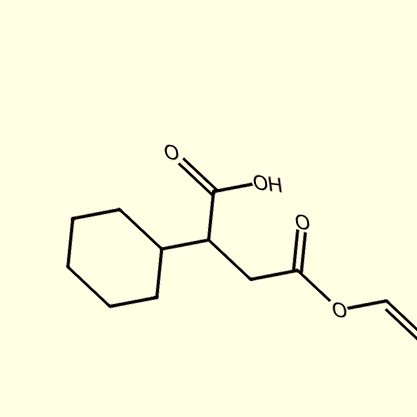 C=COC(=O)CC(C(=O)O)C1CCCCC1